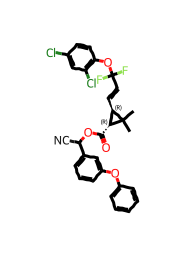 CC1(C)[C@H](C=CC(F)(F)Oc2ccc(Cl)cc2Cl)[C@H]1C(=O)OC(C#N)c1cccc(Oc2ccccc2)c1